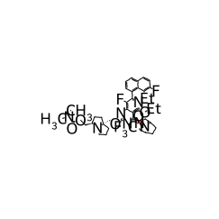 CCOc1nc(-c2cccc3ccc(F)c(CC)c23)c(F)c2nc(OC[C@]34CCCN3[C@@H](COC(=O)N(C)C)CC4)nc(N3CC4CCC(C3)N4C(=O)C(F)(F)F)c12